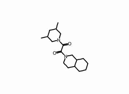 CC1CC(C)CN(C(=O)C(=O)N2CCC3CCCCC3C2)C1